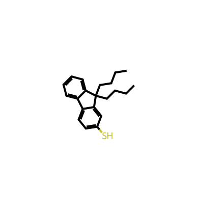 CCCCC1(CCCC)c2ccccc2-c2ccc(S)cc21